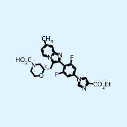 CCOC(=O)c1cn(-c2cc(F)c(-c3nc4cc(C)ccn4c3C[C@H]3CN(C(=O)O)CCO3)c(F)c2)cn1